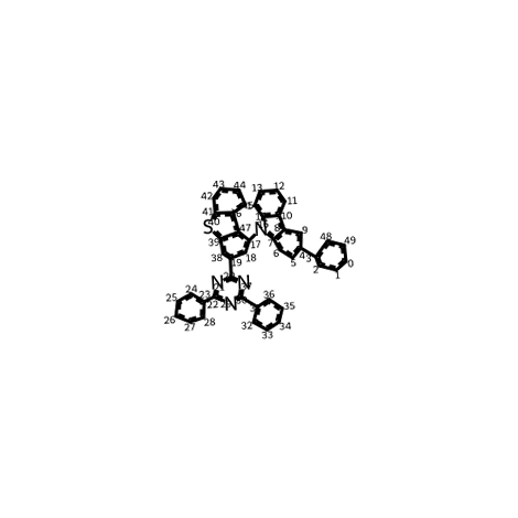 c1ccc(-c2ccc3c(c2)c2ccccc2n3-c2cc(-c3nc(-c4ccccc4)nc(-c4ccccc4)n3)cc3sc4ccccc4c23)cc1